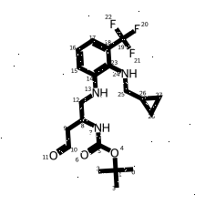 CC(C)(C)OC(=O)NC(CC=O)CNc1cccc(C(F)(F)F)c1NCC1CC1